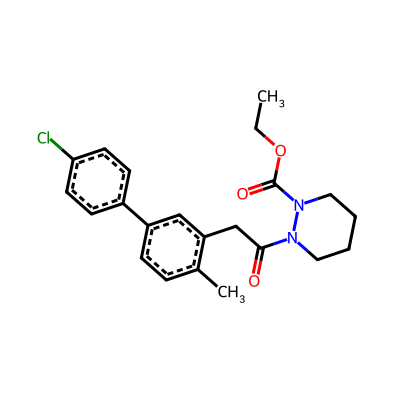 CCOC(=O)N1CCCCN1C(=O)Cc1cc(-c2ccc(Cl)cc2)ccc1C